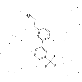 NCCc1cccc(-c2cccc(C(F)(F)F)c2)n1